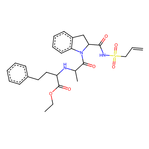 C=CCS(=O)(=O)NC(=O)C1Cc2ccccc2N1C(=O)C(C)NC(CCc1ccccc1)C(=O)OCC